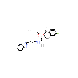 COC(=O)O[C@]1(CCN(C)CCCc2nc3ccccc3[nH]2)CCc2cc(F)ccc2C1C(C)C